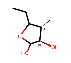 CCC1OC(O)[C@H](O)[C@H]1C